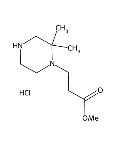 COC(=O)CCN1CCNCC1(C)C.Cl